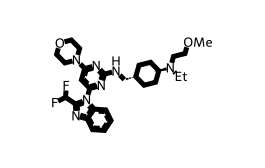 CCN(CCOC)[C@H]1CC[C@H](CNc2nc(N3CCOCC3)cc(-n3c(C(F)F)nc4ccccc43)n2)CC1